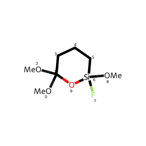 COC1(OC)CCC[Si](F)(OC)O1